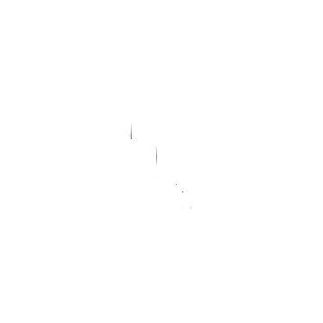 CC(C)CC[N+](=O)[O-]